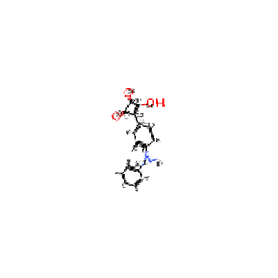 CN(c1ccccc1)c1ccc(-c2c(O)c(=O)c2=O)cc1